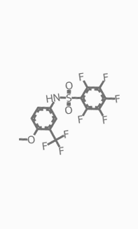 COc1ccc(NS(=O)(=O)c2c(F)c(F)c(F)c(F)c2F)cc1C(F)(F)F